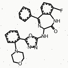 O=C1Nc2c(F)cccc2C(c2ccccc2)=NC1Nc1nnc(-c2ccccc2N2CCOCC2)o1